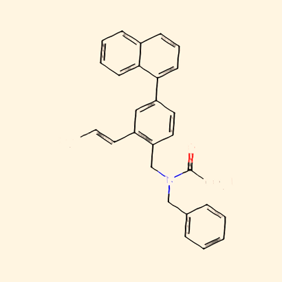 O=C(O)C=Cc1cc(-c2cccc3ccccc23)ccc1CN(Cc1ccccc1)C(=O)C(=O)O